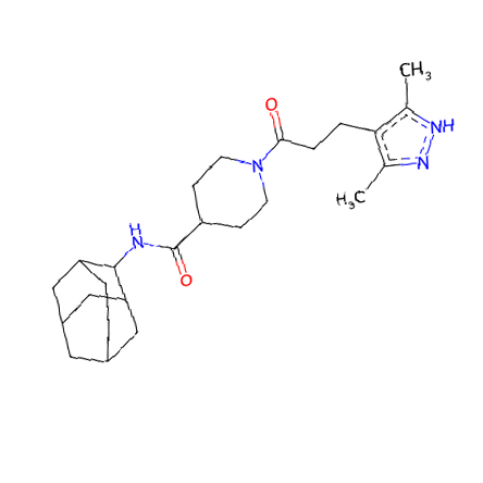 Cc1n[nH]c(C)c1CCC(=O)N1CCC(C(=O)NC2C3CC4CC(C3)CC2C4)CC1